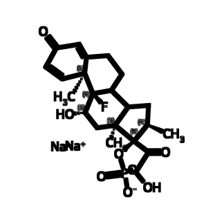 C[C@@H]1CC2C3CCC4=CC(=O)C=C[C@]4(C)[C@@]3(F)[C@@H](O)C[C@]2(C)[C@@]1(OP(=O)([O-])[O-])C(=O)CO.[Na+].[Na+]